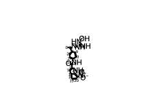 C/C(=N/NC(=N)NO)c1ccc(NC(=O)c2cc3cccc([N+](=O)[O-])c3[nH]2)cc1